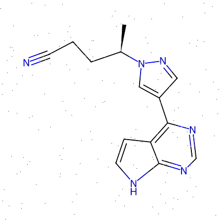 C[C@H](CCC#N)n1cc(-c2ncnc3[nH]ccc23)cn1